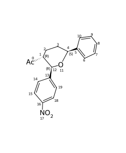 CC(=O)[C@@H]1CC[C@@H](c2ccccc2)O[C@H]1c1ccc([N+](=O)[O-])cc1